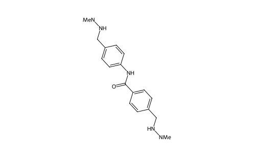 CNNCc1ccc(NC(=O)c2ccc(CNNC)cc2)cc1